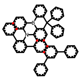 c1ccc(-c2cc(-c3ccccc3)cc(-c3cc4c5c(c3)C(c3ccccc3)(c3ccccc3)c3ccccc3B5c3ccccc3N4c3c(-c4ccccc4)cccc3-c3ccccc3)c2)cc1